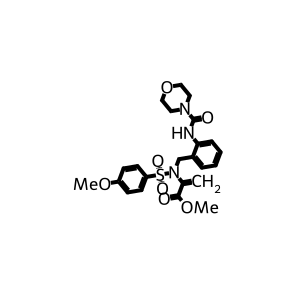 C=C(C(=O)OC)N(Cc1ccccc1NC(=O)N1CCOCC1)S(=O)(=O)c1ccc(OC)cc1